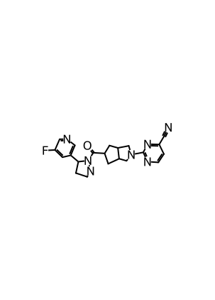 N#Cc1ccnc(N2CC3CC(C(=O)N4N=CCC4c4cncc(F)c4)CC3C2)n1